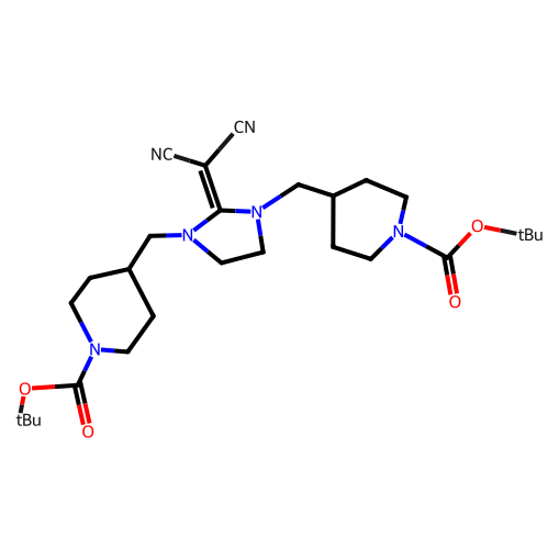 CC(C)(C)OC(=O)N1CCC(CN2CCN(CC3CCN(C(=O)OC(C)(C)C)CC3)C2=C(C#N)C#N)CC1